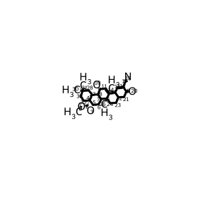 COC(=O)[C@@]12CCC3C(C(=O)C=C4[C@@]5(C)C=C(C#N)C(=O)CC5CC[C@]43C)C1CC(C)(C)CC2